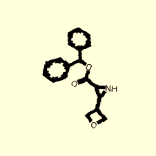 O=C(OC(c1ccccc1)c1ccccc1)C1NC1C1COC1